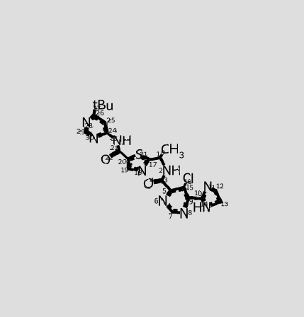 CC(NC(=O)c1ncnc(-c2ncc[nH]2)c1Cl)c1ncc(C(=O)Nc2cc(C(C)(C)C)ncn2)s1